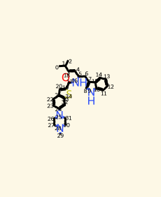 CC(C)C=CC(Cc1c[nH]c2ccccc12)NC(=O)c1cc2ccc(N3CCN(C)CC3)cc2s1